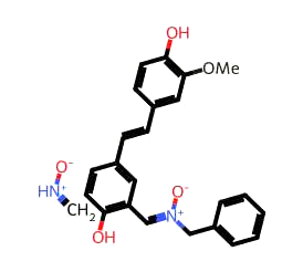 C=[NH+][O-].COc1cc(C=Cc2ccc(O)c(C=[N+]([O-])Cc3ccccc3)c2)ccc1O